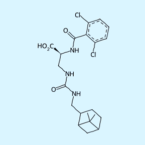 CC1(C)C2CCC(CNC(=O)NC[C@H](NC(=O)c3c(Cl)cccc3Cl)C(=O)O)C1C2